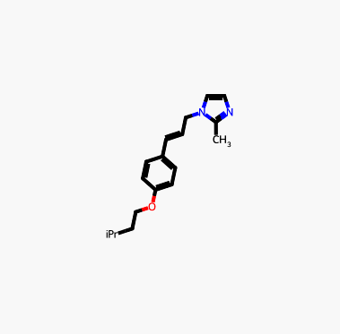 Cc1nccn1CC=Cc1ccc(OCCC(C)C)cc1